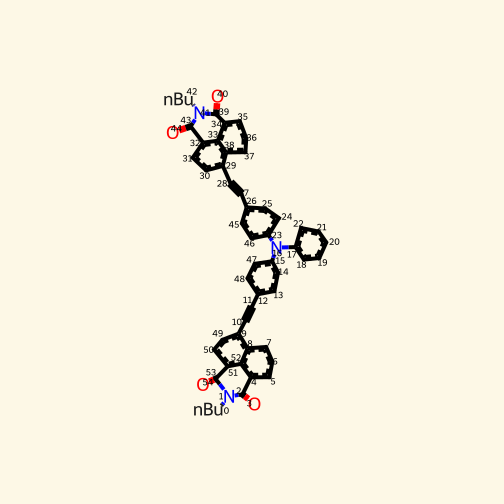 CCCCN1C(=O)c2cccc3c(C#Cc4ccc(N(c5ccccc5)c5ccc(C#Cc6ccc7c8c(cccc68)C(=O)N(CCCC)C7=O)cc5)cc4)ccc(c23)C1=O